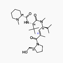 C/C(=C\[C@H](C(C)C)N(C)C(=O)[C@@H](NC(=O)[C@H]1CCCCN1C)C(C)(C)C)C(=O)N1CCC[C@H]1CO